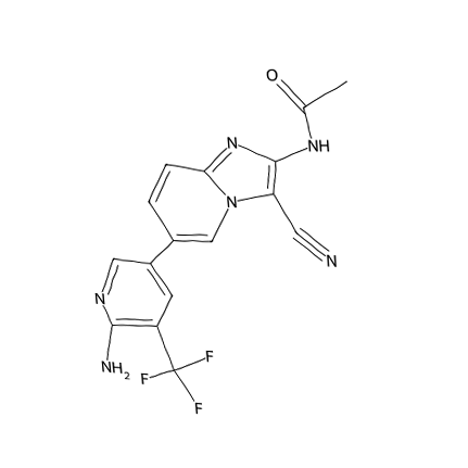 CC(=O)Nc1nc2ccc(-c3cnc(N)c(C(F)(F)F)c3)cn2c1C#N